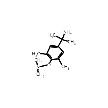 Cc1cc(C(C)(C)N)cc(C)c1ON(C)C